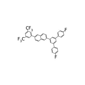 Fc1ccc(-c2cc(-c3ccc(F)cc3)cc(-c3ccc4cc(-c5cc(C(F)(F)F)cc(C(F)(F)F)c5)ccc4c3)c2)cc1